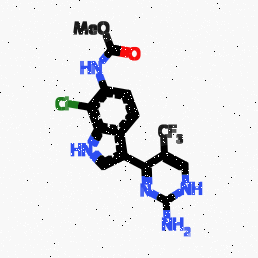 COC(=O)Nc1ccc2c(C3=NC(N)NC=C3C(F)(F)F)c[nH]c2c1Cl